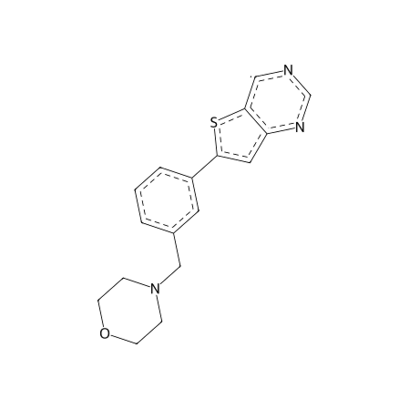 [c]1ncnc2cc(-c3cccc(CN4CCOCC4)c3)sc12